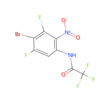 O=C(Nc1cc(F)c(Br)c(F)c1[N+](=O)[O-])C(F)(F)F